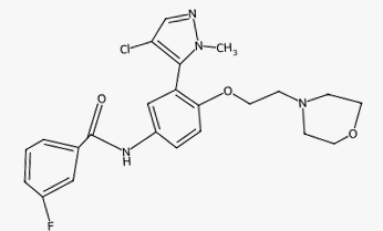 Cn1ncc(Cl)c1-c1cc(NC(=O)c2cccc(F)c2)ccc1OCCN1CCOCC1